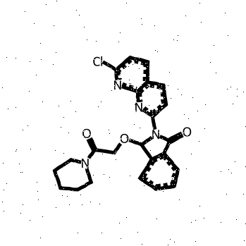 O=C(COC1c2ccccc2C(=O)N1c1ccc2ccc(Cl)nc2n1)N1CCCCC1